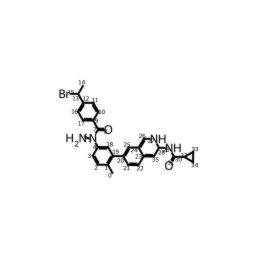 Cc1ccc(N(N)C(=O)c2ccc(C(C)Br)cc2)cc1-c1ccc2c(c1)=CNC(NC(=O)C1CC1)C=2